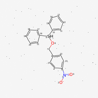 O=[N+]([O-])c1ccc(CO[SiH](c2ccccc2)c2ccccc2)cc1